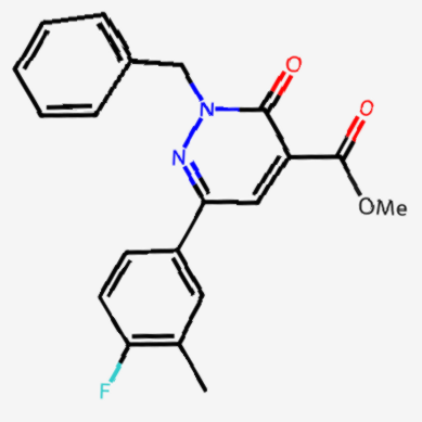 COC(=O)c1cc(-c2ccc(F)c(C)c2)nn(Cc2ccccc2)c1=O